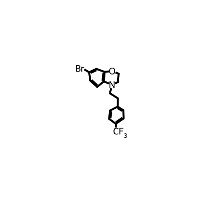 FC(F)(F)c1ccc(CCN2CCOc3cc(Br)ccc32)cc1